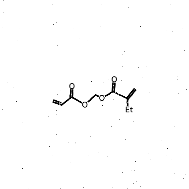 C=CC(=O)OCOC(=O)C(=C)CC